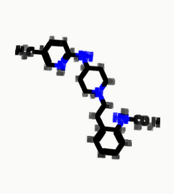 Cc1ccc(NC2CCN(CCc3ccccc3NC(=O)O)CC2)nc1